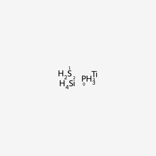 P.S.[SiH4].[Ti]